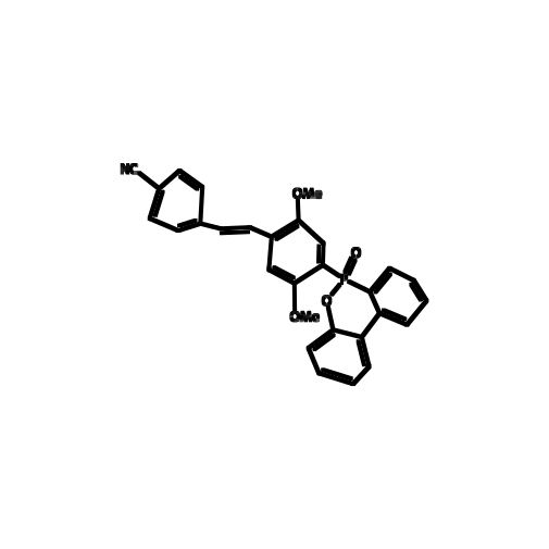 COc1cc(P2(=O)Oc3ccccc3-c3ccccc32)c(OC)cc1/C=C/c1ccc(C#N)cc1